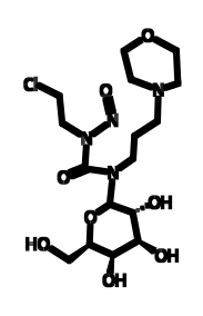 O=NN(CCCl)C(=O)N(CCCN1CCOCC1)C1O[C@H](CO)[C@H](O)[C@H](O)[C@H]1O